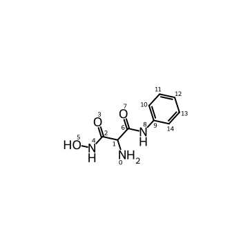 NC(C(=O)NO)C(=O)Nc1ccccc1